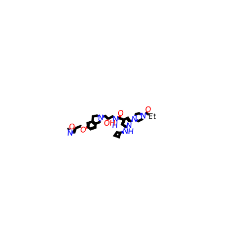 CCC(=O)N1CCN(c2cc(C(=O)NCC(O)CN3CCc4cc(OCc5cnco5)ccc4C3)cc(NC3CCC3)n2)CC1